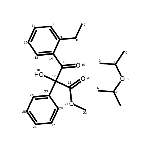 CC(C)OC(C)C.CCc1ccccc1C(=O)C(O)(C(=O)OC)c1ccccc1